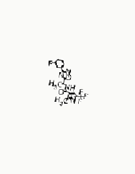 CC(NC(=O)c1cc(C(F)(F)F)nn1C)c1nc(-c2cccc(F)c2)no1